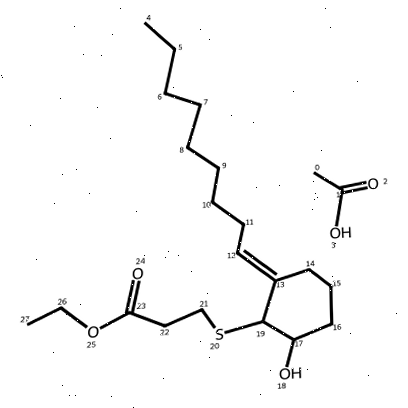 CC(=O)O.CCCCCCCCC=C1CCCC(O)C1SCCC(=O)OCC